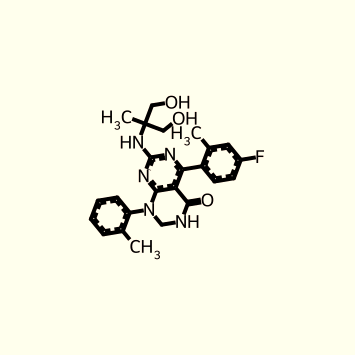 Cc1cc(F)ccc1-c1nc(NC(C)(CO)CO)nc2c1C(=O)NCN2c1ccccc1C